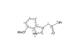 COc1cccc2c(CC(=O)C(C)C)c[nH]c12